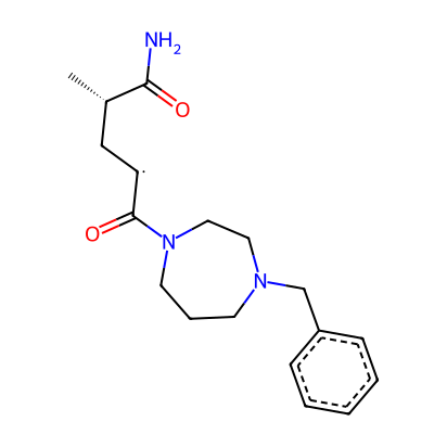 C[C@@H](C[CH]C(=O)N1CCCN(Cc2ccccc2)CC1)C(N)=O